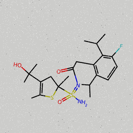 CC1=C(C(C)(C)O)CC(C)(S(N)(=O)=NC(=O)Cc2c(C(C)C)ccc(F)c2C(C)C)S1